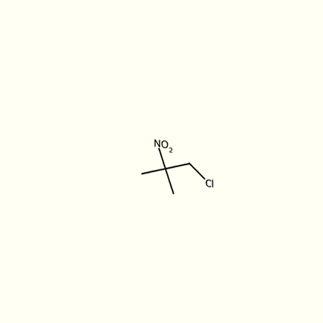 CC(C)(CCl)[N+](=O)[O-]